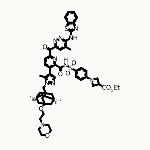 CCOC(=O)C1CN(c2ccc(S(=O)(=O)NC(=O)c3nc(C(=O)c4cc(C)c(Nc5nc6ccccc6s5)nn4)ccc3-c3cnn(CC45CC6(OCCN7CCOCC7)C[C@](C)(C4)C[C@](C)(C5)C6)c3C)cc2)C1